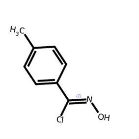 Cc1ccc(/C(Cl)=N/O)cc1